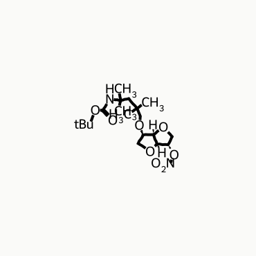 CC(C)(CO[C@@H]1CO[C@H]2[C@@H]1OC[C@@H]2O[N+](=O)[O-])CC(C)(C)NC(=O)OC(C)(C)C